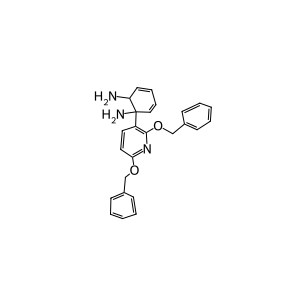 NC1C=CC=CC1(N)c1ccc(OCc2ccccc2)nc1OCc1ccccc1